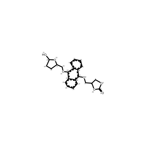 O=C1OCC(COc2c3ccccc3c(OCC3CCC(O)O3)c3ccccc23)O1